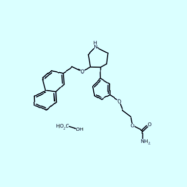 NC(=O)OCCOc1cccc(C2CCNCC2OCc2ccc3ccccc3c2)c1.O=C(O)O